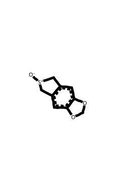 [O-][S+]1Cc2cc3c(cc2C1)OCO3